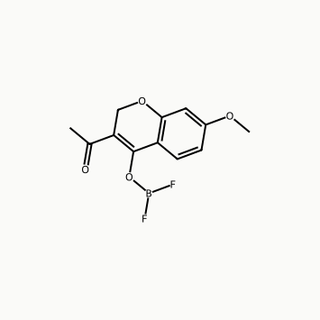 COc1ccc2c(c1)OCC(C(C)=O)=C2OB(F)F